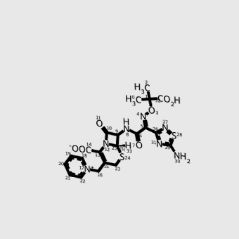 CC(C)(ON=C(C(=O)NC1C(=O)N2C(C(=O)[O-])=C(C[n+]3ccccc3)CS[C@@H]12)c1nsc(N)n1)C(=O)O